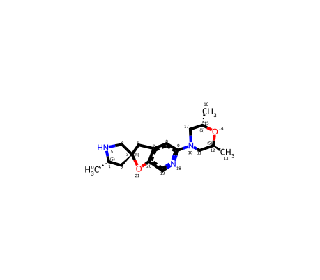 C[C@H]1C[C@@]2(CN1)Cc1cc(N3C[C@H](C)O[C@@H](C)C3)ncc1O2